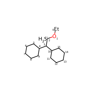 CCO[SiH2]C(C1CCCCC1)C1CCCCC1